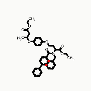 CCOC(=O)CC(C)Oc1ccc(OCCC(C(=O)OCC)N(Cc2ccccc2)C(=O)c2ccc(-c3ccccc3)cc2)cc1